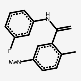 C=C(Nc1cccc(F)c1)c1cc(NC)ccc1C